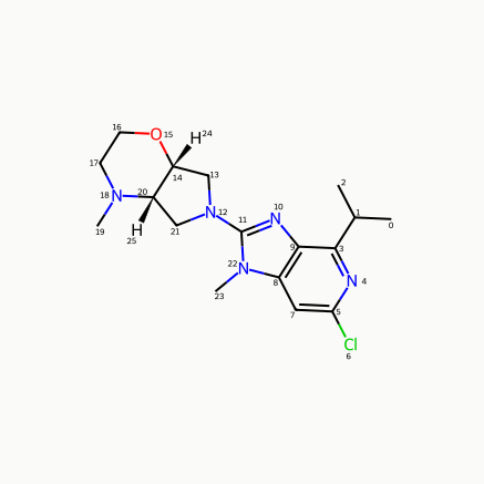 CC(C)c1nc(Cl)cc2c1nc(N1C[C@H]3OCCN(C)[C@H]3C1)n2C